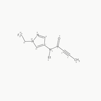 CC#CC(=O)N(CC)c1cnn(CC(F)(F)F)c1